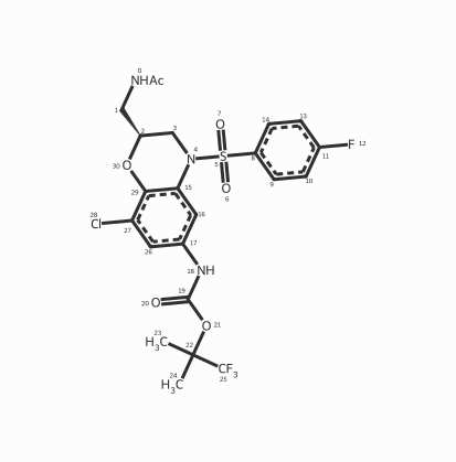 CC(=O)NC[C@H]1CN(S(=O)(=O)c2ccc(F)cc2)c2cc(NC(=O)OC(C)(C)C(F)(F)F)cc(Cl)c2O1